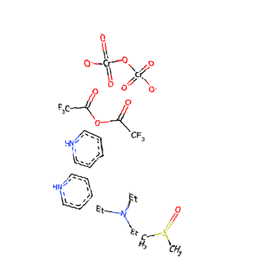 CCN(CC)CC.CS(C)=O.O=C(OC(=O)C(F)(F)F)C(F)(F)F.[O]=[Cr](=[O])([O-])[O][Cr](=[O])(=[O])[O-].c1cc[nH+]cc1.c1cc[nH+]cc1